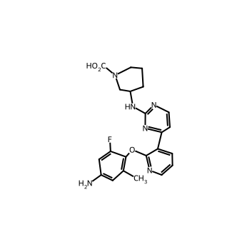 Cc1cc(N)cc(F)c1Oc1ncccc1-c1ccnc(NC2CCCN(C(=O)O)C2)n1